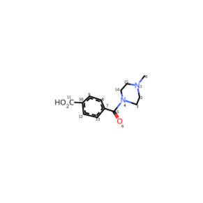 CN1CCN(C(=O)c2ccc(C(=O)O)cc2)CC1